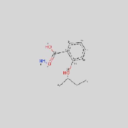 CCCC.N.O=C(O)c1ccccc1O